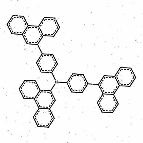 c1ccc2c(c1)cc(-c1ccc(N(c3ccc(-c4cc5ccccc5c5ccccc45)cc3)c3cc4ccccc4c4ccccc34)cc1)c1ccccc12